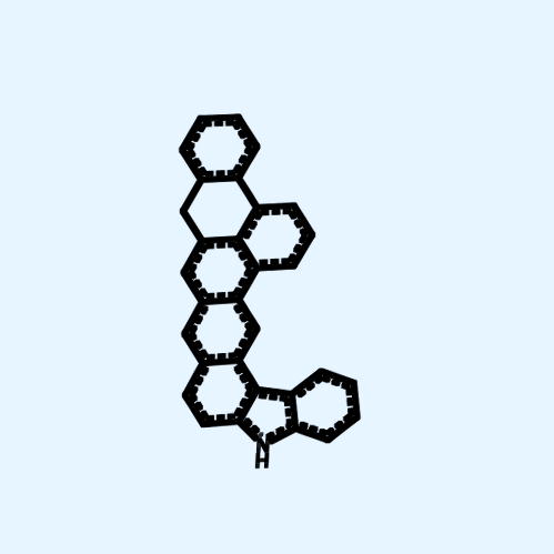 c1ccc2c(c1)Cc1cc3cc4ccc5[nH]c6ccccc6c5c4cc3c3cccc-2c13